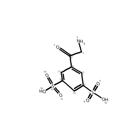 NCC(=O)c1cc(S(=O)(=O)O)cc(S(=O)(=O)O)c1